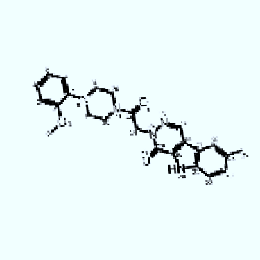 COc1ccccc1N1CCN(C(=O)Cn2ncc3c([nH]c4ccc(C)cc43)c2=O)CC1